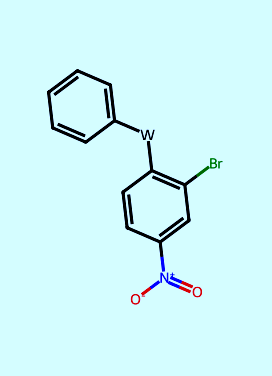 O=[N+]([O-])c1cc[c]([W][c]2ccccc2)c(Br)c1